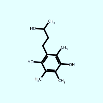 C[C](O)CCc1c(C)c(O)c(C)c(C)c1O